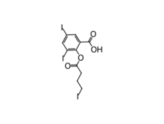 O=C(CCCI)Oc1c(I)cc(I)cc1C(=O)O